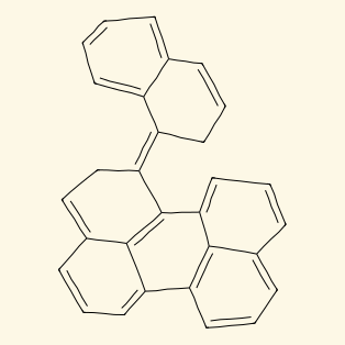 C1=Cc2ccccc2C(=C2CC=c3cccc4c3c2c2cccc3cccc4c32)C1